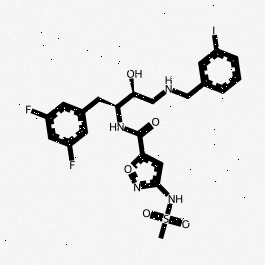 CS(=O)(=O)Nc1cc(C(=O)N[C@@H](Cc2cc(F)cc(F)c2)[C@@H](O)CNCc2cccc(I)c2)on1